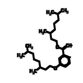 [CH]=C(OCCC(C)CCCC(C)C)c1[c]ccc(OCCC(C)CCCC(C)C)c1